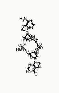 Nc1ncnc2c1ncn2[C@@H]1O[C@@H]2CNS(=O)(=O)O[C@H]3C[C@H](n4nnc5c(=O)[nH]cnc54)O[C@@H]3COP(=O)(O)O[C@H]2[C@H]1F